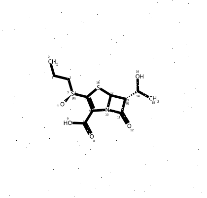 CCC[S@+]([O-])C1=C(C(=O)O)N2C(=O)[C@@H](C(C)O)C2S1